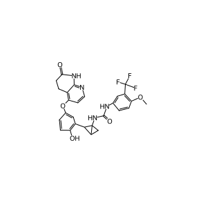 COc1ccc(NC(=O)NC23CC2C3c2cc(Oc3ccnc4c3CCC(=O)N4)ccc2O)cc1C(F)(F)F